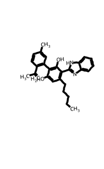 C=C(C)c1ccc(C)cc1-c1c(O)cc(CCCCC)c(-c2nc3ccccc3[nH]2)c1O